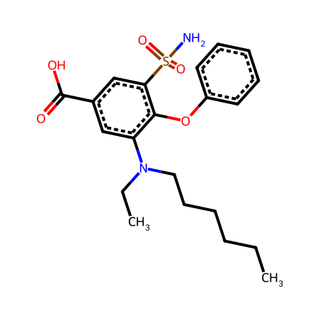 CCCCCCN(CC)c1cc(C(=O)O)cc(S(N)(=O)=O)c1Oc1ccccc1